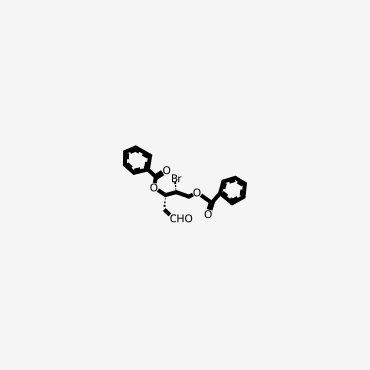 O=CC[C@H](OC(=O)c1ccccc1)[C@H](Br)COC(=O)c1ccccc1